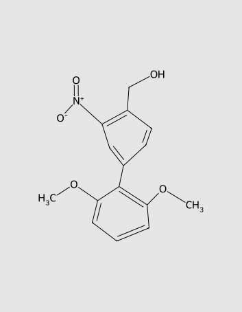 COc1cccc(OC)c1-c1ccc(CO)c([N+](=O)[O-])c1